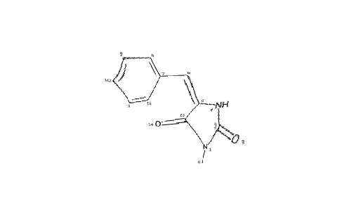 CN1C(=O)NC(=Cc2ccccc2)C1=O